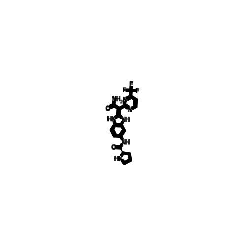 NC(=O)/C(=C1\Nc2ccc(NC(=O)[C@@H]3CCCN3)cc2N1)c1nccc(C(F)(F)F)n1